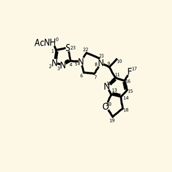 CC(=O)Nc1nnc(N2CCN(C(C)c3nc4c(cc3F)CCO4)CC2)s1